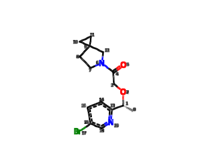 C[C@@H](OCC(=O)N1CCC2(CC2)C1)c1ccc(Br)cn1